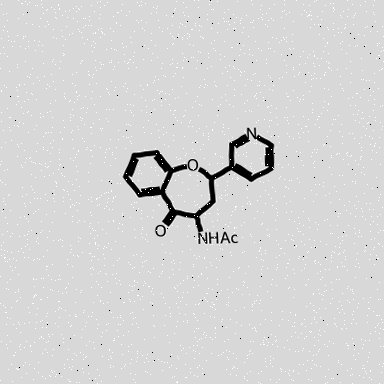 CC(=O)NC1CC(c2cccnc2)Oc2ccccc2C1=O